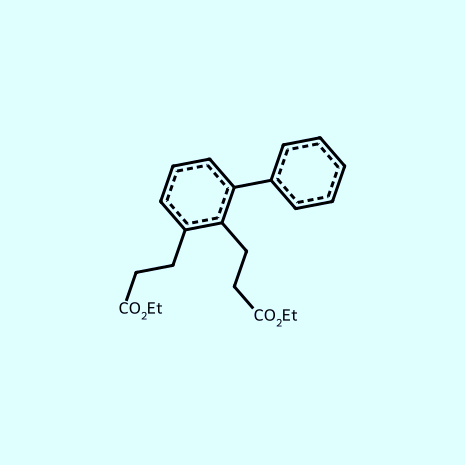 CCOC(=O)CCc1cccc(-c2ccccc2)c1CCC(=O)OCC